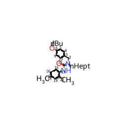 CCCCCCCN(Cc1ccc(OCCCC)cc1)C(=O)Nc1ccc(C)cc1C